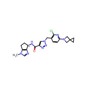 Cn1cnc2c1CC[C@H]2NC(=O)c1cn(Cc2ccc(N3CC4(CC4)C3)nc2Cl)nn1